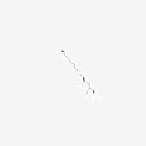 C=CCCCCCNN/C=C(\N)CC(C=C)NC